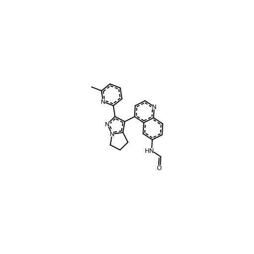 Cc1cccc(-c2nn3c(c2-c2ccnc4ccc(NC=O)cc24)CCC3)n1